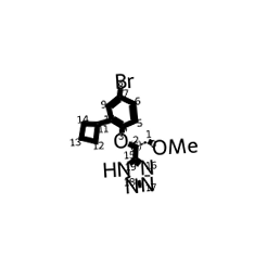 COC[C@@H](Oc1ccc(Br)cc1C1CCC1)c1nnn[nH]1